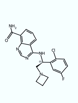 NC(=O)c1cccc2c(N[C@H](CN3CCC3)c3cc(F)ccc3Cl)ncnc12